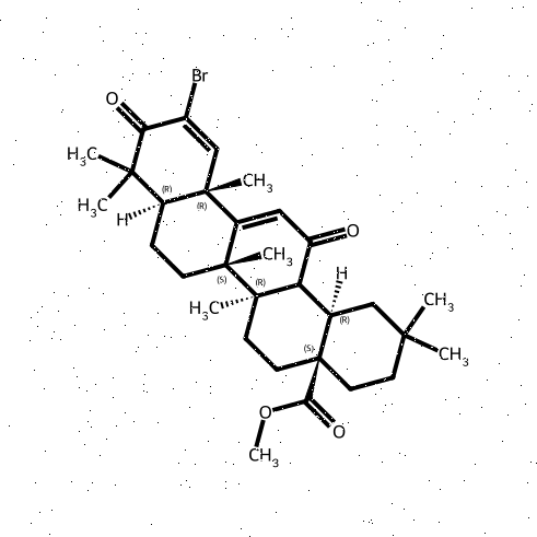 COC(=O)[C@]12CCC(C)(C)C[C@@H]1C1C(=O)C=C3[C@@]4(C)C=C(Br)C(=O)C(C)(C)[C@@H]4CC[C@@]3(C)[C@]1(C)CC2